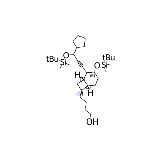 CC(C)(C)[Si](C)(C)OC(C#CC1[C@H]2C/C(=C/CCCO)[C@H]2CC[C@H]1O[Si](C)(C)C(C)(C)C)C1CCCC1